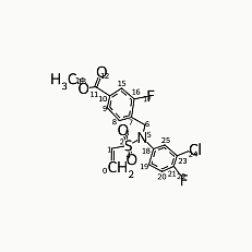 C=CS(=O)(=O)N(Cc1ccc(C(=O)OC)cc1F)c1ccc(F)c(Cl)c1